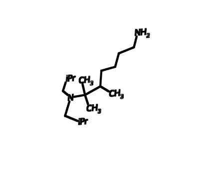 CC(C)CN(CC(C)C)C(C)(C)C(C)CCCCN